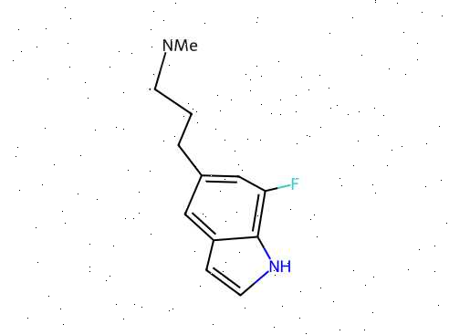 CN[CH]CCc1cc(F)c2[nH]ccc2c1